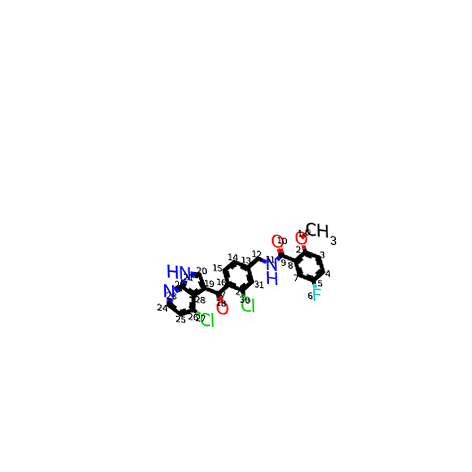 COc1ccc(F)cc1C(=O)NCc1ccc(C(=O)c2c[nH]c3nccc(Cl)c23)c(Cl)c1